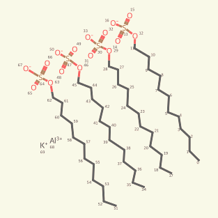 CCCCCCCCCCCCOS(=O)(=O)[O-].CCCCCCCCCCCCOS(=O)(=O)[O-].CCCCCCCCCCCCOS(=O)(=O)[O-].CCCCCCCCCCCCOS(=O)(=O)[O-].[Al+3].[K+]